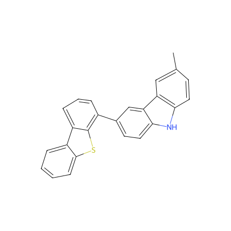 Cc1ccc2[nH]c3ccc(-c4cccc5c4sc4ccccc45)cc3c2c1